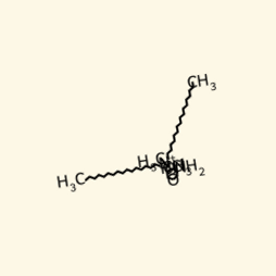 CCCCCCCCCCCCCCCCCC[N+](C)(C)CCCCCCCCCCCCCCCCCC.Cl.NC1COCCO1